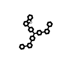 c1ccc(-c2cccc(-c3ccc(C(c4ccc(-c5cccc(-c6ccccc6)c5)cc4)c4ccc(-c5cccc6c5oc5ccccc56)cc4)cc3)c2)cc1